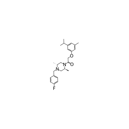 Cc1cc(OCC(=O)N2C[C@@H](C)N(Cc3ccc(F)cc3)C[C@@H]2C)cc(C(C)C)c1